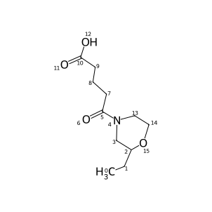 CCC1CN(C(=O)CCCC(=O)O)CCO1